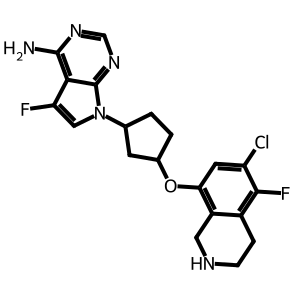 Nc1ncnc2c1c(F)cn2C1CCC(Oc2cc(Cl)c(F)c3c2CNCC3)C1